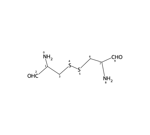 NC(C=O)CSSCC(N)C=O